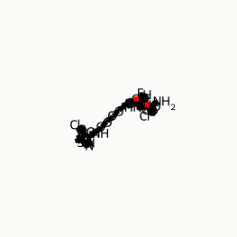 Cc1sc2c(c1C)C(c1ccc(Cl)cc1)=N[C@@H](CC(=O)NCCOCCOCCOCCOCCCc1ccc(C(=O)c3[nH]cc(C(=O)N[C@@H](CC(N)=O)c4cccc(Cl)c4)c3-c3c(F)ccc(F)c3C)cc1)c1nnc(C)n1-2